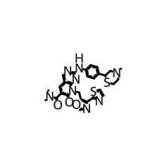 CN1CCSC(c2ccc(Nc3ncc4cc(C(=O)N(C)C)c(=O)n(Cc5ocnc5-c5nccs5)c4n3)cc2)C1